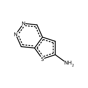 Nc1cc2cnncc2s1